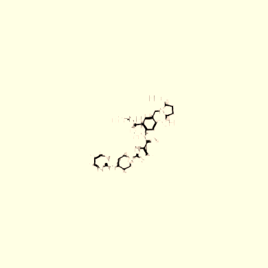 CCCNC(=O)c1cc(CN2C(C)CCC2C)ccc1NC(=O)c1csc(N2CCC(Oc3ncccn3)CC2)n1